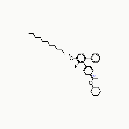 CCCCCCCCCCCCOc1ccc(-c2ccccc2)c(C2=CC/C(=C(/C)OC3CCCCC3)C=C2)c1F